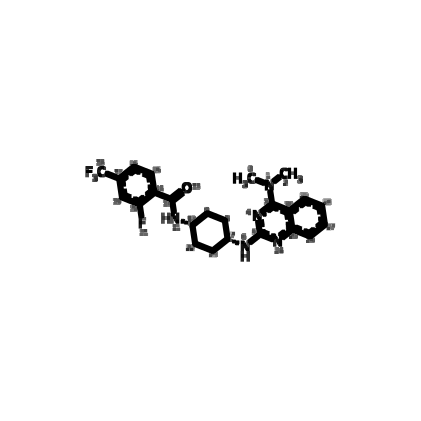 CN(C)c1nc(N[C@H]2CC[C@@H](NC(=O)c3ccc(C(F)(F)F)cc3F)CC2)nc2ccccc12